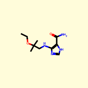 CCOC(C)(C)CNc1nc[nH]c1C(N)=O